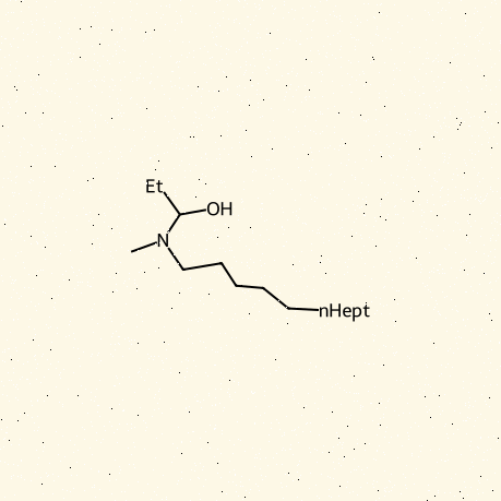 CCCCCCCCCCCCN(C)C(O)CC